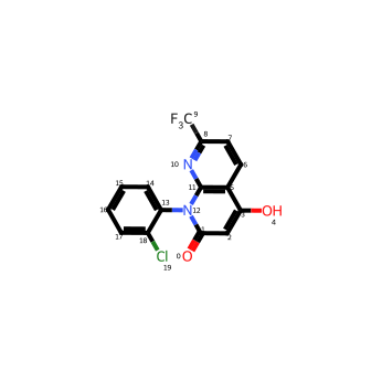 O=c1cc(O)c2ccc(C(F)(F)F)nc2n1-c1ccccc1Cl